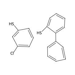 Sc1cccc(Cl)c1.Sc1ccccc1-c1ccccc1